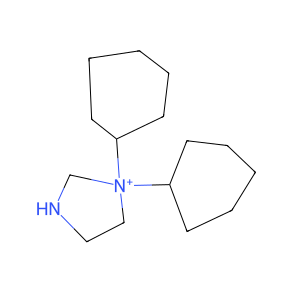 C1CCC([N+]2(C3CCCCC3)CCNC2)CC1